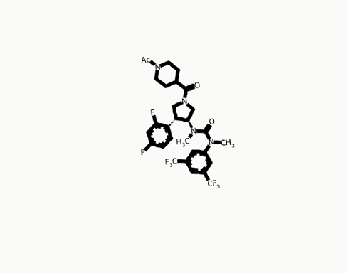 CC(=O)N1CCC(C(=O)N2C[C@@H](N(C)C(=O)N(C)c3cc(C(F)(F)F)cc(C(F)(F)F)c3)[C@H](c3ccc(F)cc3F)C2)CC1